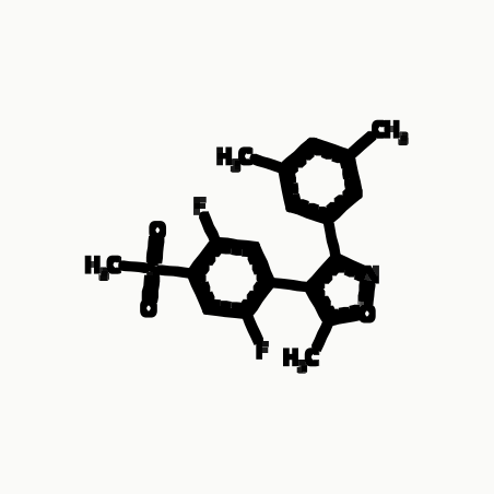 Cc1cc(C)cc(-c2noc(C)c2-c2cc(F)c(S(C)(=O)=O)cc2F)c1